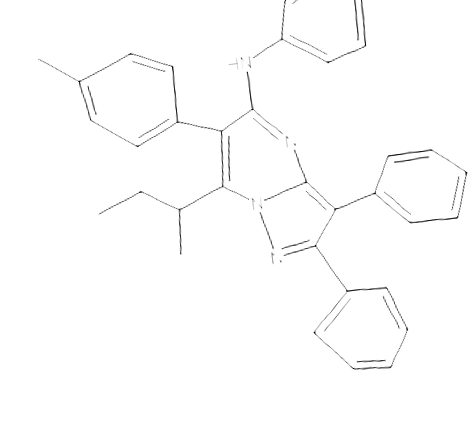 CCC(C)c1c(-c2ccc(C)cc2)c(Nc2ccccc2)nc2c(-c3ccccc3)c(-c3ccccc3)nn12